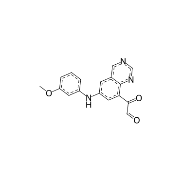 COc1cccc(Nc2cc(C(=O)C=O)c3ncncc3c2)c1